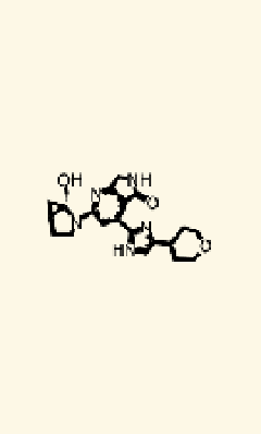 O=C1NCc2nc(N3CCC4C[C@]43CO)cc(-c3nc(C4CCOCC4)c[nH]3)c21